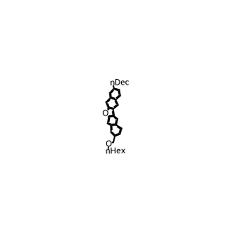 CCCCCCCCCCc1ccc2cc3c(cc2c1)oc1cc2cc(COCCCCCC)ccc2cc13